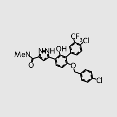 CNC(=O)c1cc(-c2ccc(OCc3ccc(Cl)cc3)c(-c3ccc(Cl)c(C(F)(F)F)c3)c2O)[nH]n1